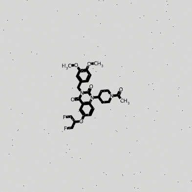 COc1ccc(Cn2c(=O)c3cc(OC(CF)CF)ccc3n(C3CCN(C(C)=O)CC3)c2=O)cc1OC